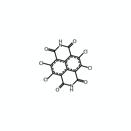 O=C1NC(=O)c2c(Cl)c(Cl)c3c4c(c(Cl)c(Cl)c1c24)C(=O)NC3=O